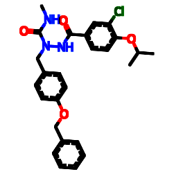 CNC(=O)N(Cc1ccc(OCc2ccccc2)cc1)NC(=O)c1ccc(OC(C)C)c(Cl)c1